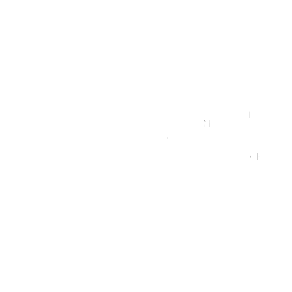 C=C/C(=C/SCCCCC(C)(C)C)N=C